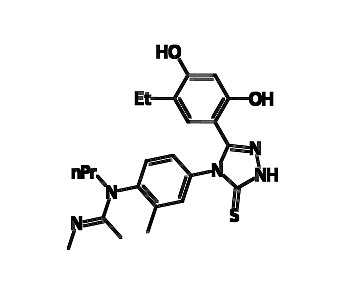 CCCN(/C(C)=N/C)c1ccc(-n2c(-c3cc(CC)c(O)cc3O)n[nH]c2=S)cc1C